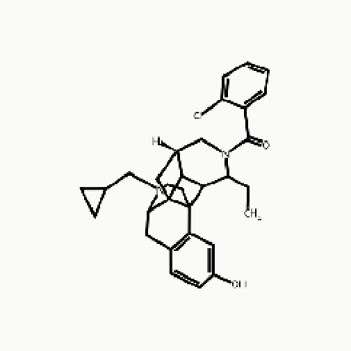 CCC1C2C3[C@@H](CN1C(=O)c1ccccc1Cl)CC31C3Cc4ccc(O)cc4C21CCN3CC1CC1